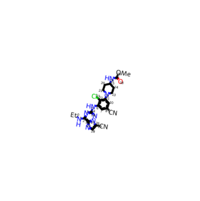 CCNc1nc(Nc2cc(C#N)cc(N3CCC(NC(=O)OC)CC3)c2Cl)nn2c(C#N)cnc12